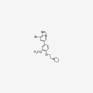 COc1cc(-c2cnc(N)c(Br)c2)ccc1OCCN1CCCC1